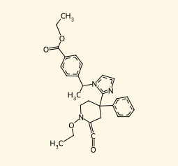 CCOC(=O)c1ccc(C(C)n2ccnc2C2(c3ccccc3)CCN(OCC)C(=C=O)C2)cc1